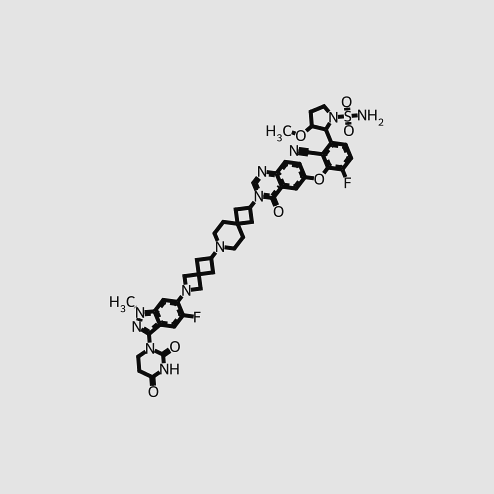 COC1CCN(S(N)(=O)=O)C1c1ccc(F)c(Oc2ccc3ncn(C4CC5(CCN(C6CC7(C6)CN(c6cc8c(cc6F)c(N6CCC(=O)NC6=O)nn8C)C7)CC5)C4)c(=O)c3c2)c1C#N